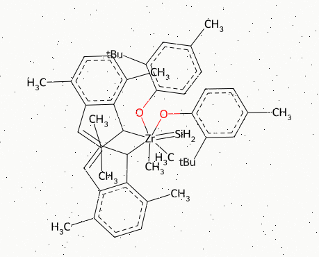 CC1=Cc2c(C)ccc(C)c2[CH]1[Zr]([CH3])([CH3])(=[SiH2])([O]c1ccc(C)cc1C(C)(C)C)([O]c1ccc(C)cc1C(C)(C)C)[CH]1C(C)=Cc2c(C)ccc(C)c21